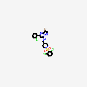 O=S(=O)(c1c(Cl)cccc1Cl)N1CCC(CNc2cc(-c3ccccc3Cl)nc3c(Br)cnn23)CC1